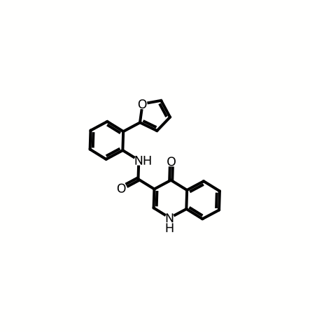 O=C(Nc1ccccc1-c1ccco1)c1c[nH]c2ccccc2c1=O